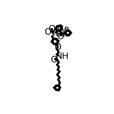 COC(=O)[C@H](Cc1ccc(OCCCNC(=O)CCCCCCCCCc2ccccc2)cc1)Nc1ccccc1C(=O)c1ccccc1